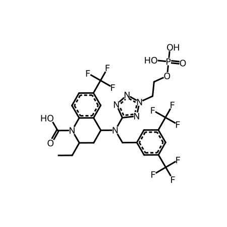 CCC1CC(N(Cc2cc(C(F)(F)F)cc(C(F)(F)F)c2)c2nnn(CCOP(=O)(O)O)n2)c2cc(C(F)(F)F)ccc2N1C(=O)O